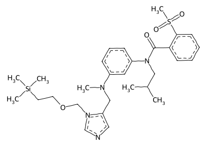 CC(C)CN(C(=O)c1ccccc1S(C)(=O)=O)c1cccc(N(C)Cc2cncn2COCC[Si](C)(C)C)c1